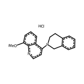 COc1cccc2c(N3CCc4ccccc4C3)ccnc12.Cl